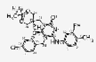 Cc1ccc(Nc2nc(=O)n(CC3(C)COC(C)(C)OC3)c(=O)n2Cc2ccc(Cl)cc2)cc1F